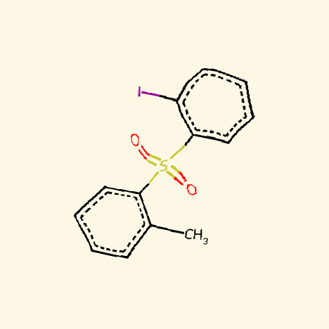 Cc1ccccc1S(=O)(=O)c1ccccc1I